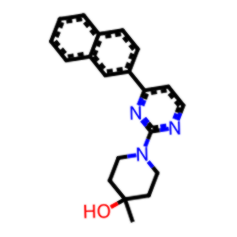 CC1(O)CCN(c2nccc(-c3ccc4ccccc4c3)n2)CC1